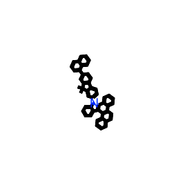 CC1(C)c2cc(-c3cccc4ccccc34)ccc2-c2ccc(-n3c4ccccc4c4c5c6ccccc6ccc5c5ccccc5c43)cc21